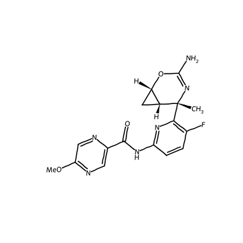 COc1cnc(C(=O)Nc2ccc(F)c([C@@]3(C)N=C(N)O[C@H]4C[C@H]43)n2)cn1